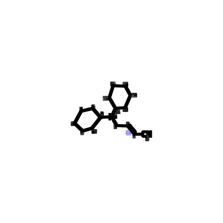 N#C/C=C/CN(C1CCCCC1)C1CCCCC1